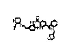 N#Cc1ncccc1OCCc1ccc2c(c1)NC(=O)c1ccc(-c3cn(CC4CCOC4)c4cnccc34)cc1N2